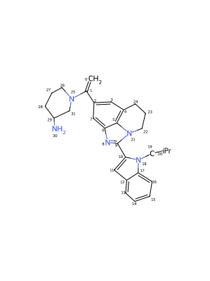 C=C(c1cc2c3c(c1)nc(-c1cc4ccccc4n1CC(C)C)n3CCC2)N1CCCC(N)C1